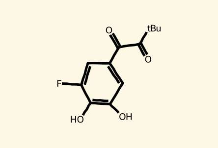 CC(C)(C)C(=O)C(=O)c1cc(O)c(O)c(F)c1